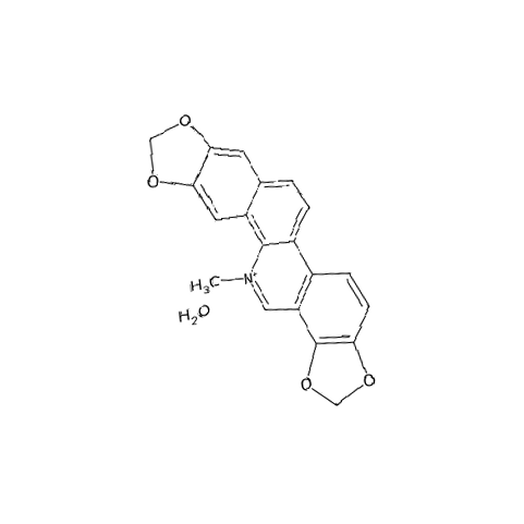 C[n+]1cc2c3c(ccc2c2ccc4cc5c(cc4c21)OCO5)OCO3.O